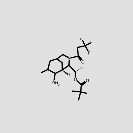 CC1CC2C[C@@H](C1N)C([C@H](C)OC(=O)C(C)(C)C)N(C(=O)CC(F)(F)F)C2